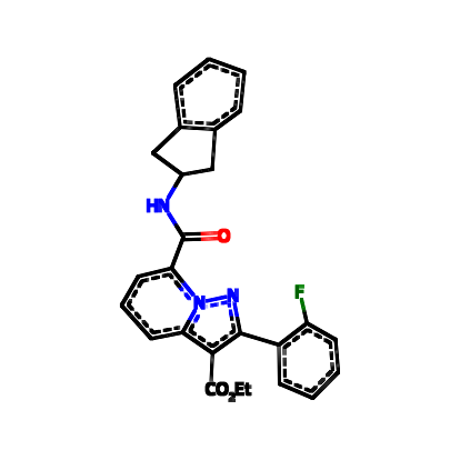 CCOC(=O)c1c(-c2ccccc2F)nn2c(C(=O)NC3Cc4ccccc4C3)cccc12